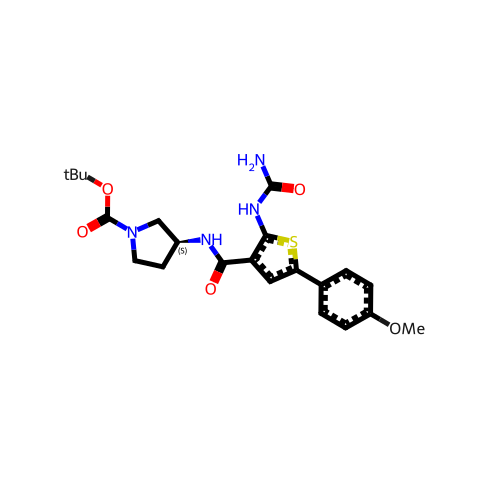 COc1ccc(-c2cc(C(=O)N[C@H]3CCN(C(=O)OC(C)(C)C)C3)c(NC(N)=O)s2)cc1